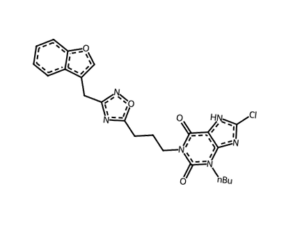 CCCCn1c(=O)n(CCCc2nc(Cc3coc4ccccc34)no2)c(=O)c2[nH]c(Cl)nc21